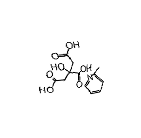 Cc1ccccn1.O=C(O)CC(O)(CC(=O)O)C(=O)O